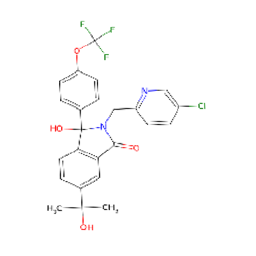 CC(C)(O)c1ccc2c(c1)C(=O)N(Cc1ccc(Cl)cn1)C2(O)c1ccc(OC(F)(F)F)cc1